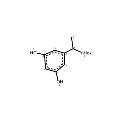 CCCCCCC(C)c1cc(O)cc(O)c1